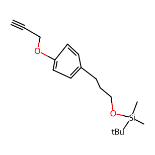 C#CCOc1ccc(CCCO[Si](C)(C)C(C)(C)C)cc1